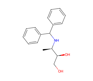 C[C@@H](NC(c1ccccc1)c1ccccc1)[C@@H](O)CO